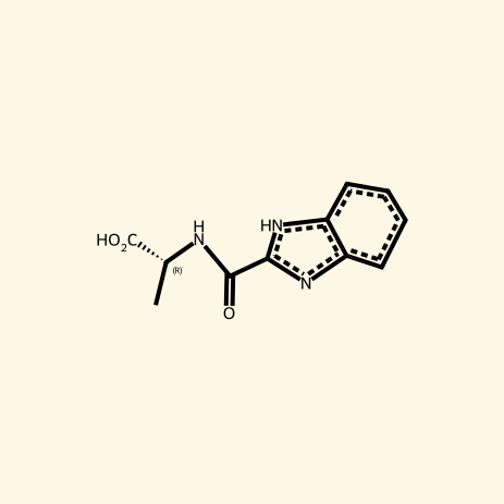 C[C@@H](NC(=O)c1nc2ccccc2[nH]1)C(=O)O